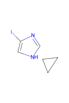 C1CC1.Ic1c[nH]cn1